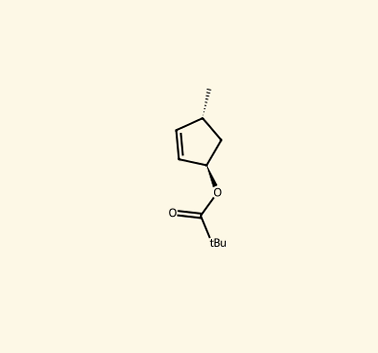 C[C@H]1C=C[C@H](OC(=O)C(C)(C)C)C1